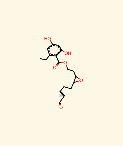 CCc1cc(O)cc(O)c1C(=O)OCCC1OC1CC/C=C/C=O